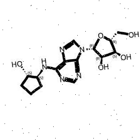 OC[C@H]1O[C@@H](n2cnc3c(N[C@H]4CCC[C@@H]4O)ncnc32)[C@H](O)[C@@H]1O